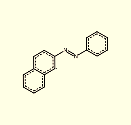 [c]1c(N=Nc2ccccc2)ccc2ccccc12